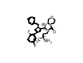 C[C@H](N)CCN(C(=O)N1CCOCC1)[C@@H](C1=CC(c2cc(F)ccc2F)=CC1Cc1ccccc1)C(C)(C)C